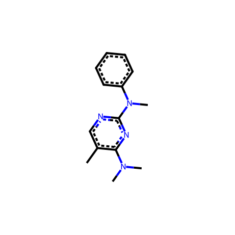 Cc1cnc(N(C)c2ccccc2)nc1N(C)C